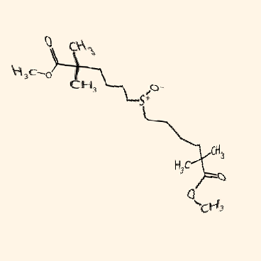 COC(=O)C(C)(C)CCCC[S+]([O-])CCCCC(C)(C)C(=O)OC